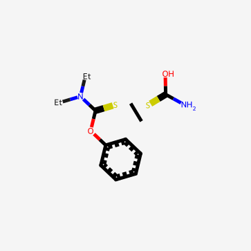 CC.CCN(CC)C(=S)Oc1ccccc1.NC(O)=S